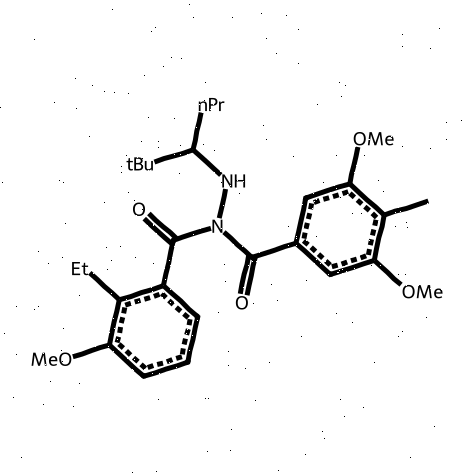 CCCC(NN(C(=O)c1cc(OC)c(C)c(OC)c1)C(=O)c1cccc(OC)c1CC)C(C)(C)C